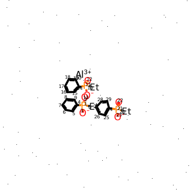 CCP(=O)([O-])c1ccccc1.CCP(=O)([O-])c1ccccc1.CCP(=O)([O-])c1ccccc1.[Al+3]